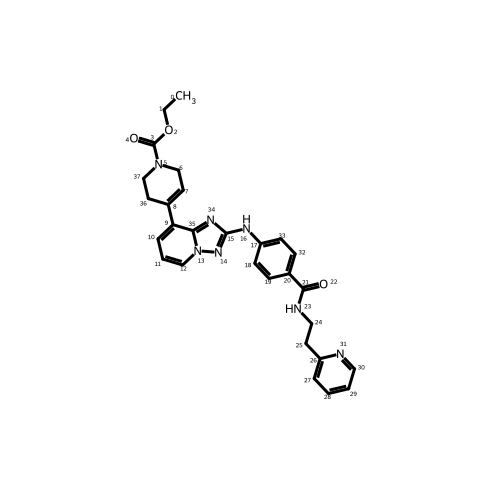 CCOC(=O)N1CC=C(c2cccn3nc(Nc4ccc(C(=O)NCCc5ccccn5)cc4)nc23)CC1